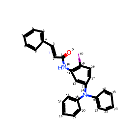 O=C(/C=C/c1ccccc1)Nc1cc(N(c2ccccc2)c2ccccc2)ccc1I